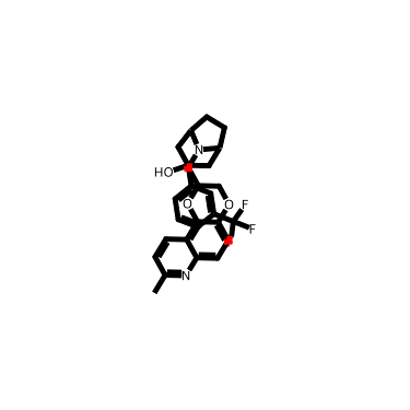 Cc1ccc2c3c(ccc2n1)OCC(CN1C2CCC1CC(O)(c1cccc(C(F)(F)F)c1)C2)O3